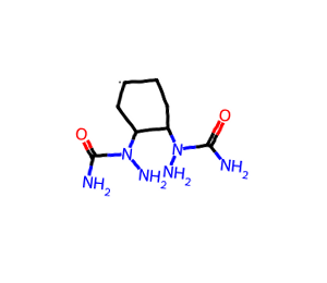 NC(=O)N(N)C1C[CH]CCC1N(N)C(N)=O